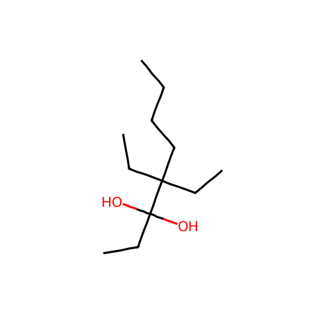 CCCCC(CC)(CC)C(O)(O)CC